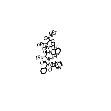 CCCNC(=O)C(=O)[C@H](CCC)NC(=O)[C@@H]1[C@H]2CCC[C@H]2CN1C(=O)[C@@H](NC(=O)[C@@H](NC(=O)c1cnccn1)C1CCCCC1)C(C)(C)C